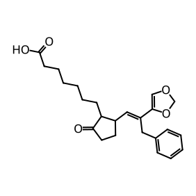 O=C(O)CCCCCCC1C(=O)CCC1/C=C(\Cc1ccccc1)C1=COCO1